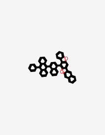 c1ccc(-c2c3ccccc3c(-c3ccc(-c4c5oc6cc7ccccc7cc6c5cc5oc6ccccc6c45)c4ccccc34)c3ccccc23)cc1